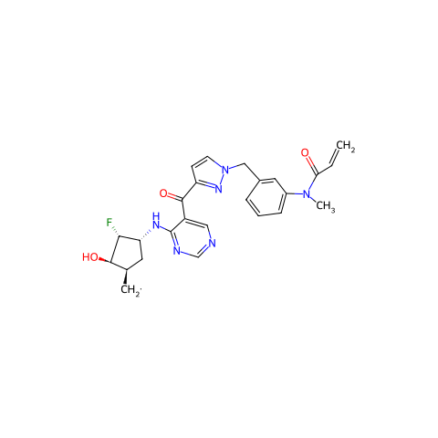 [CH2][C@@H]1C[C@@H](Nc2ncncc2C(=O)c2ccn(Cc3cccc(N(C)C(=O)C=C)c3)n2)[C@@H](F)[C@@H]1O